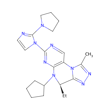 CC[C@@H]1c2nnc(C)n2-c2cnc(-n3ccnc3N3CCCC3)nc2N1C1CCCC1